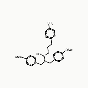 COc1ccc(CN(Cc2ccc(OC)cc2)N(O)SCCc2ncc(C)cn2)cc1